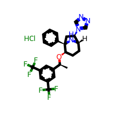 C[C@H](O[C@@H]1CC[C@@H]2N[C@@]1(c1ccccc1)C[C@H]2n1cnnc1)c1cc(C(F)(F)F)cc(C(F)(F)F)c1.Cl